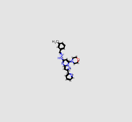 Cc1cccc(/C=N/Nc2cc(N3CCOCC3)n3nc(-c4ccccn4)cc3n2)c1